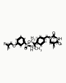 CC(C)(NS(=O)(=O)c1cccc(OCC(F)F)c1)c1ccc(Cn2cc(F)c(=O)[nH]c2=O)cc1